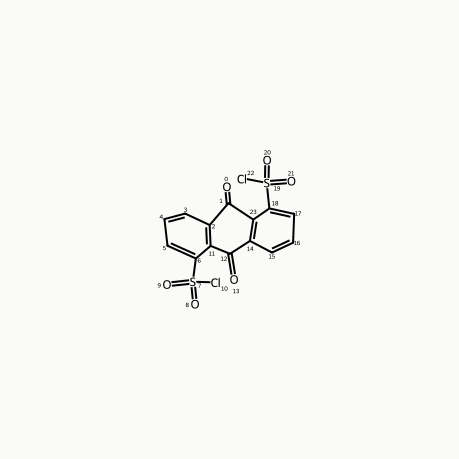 O=C1c2cccc(S(=O)(=O)Cl)c2C(=O)c2cccc(S(=O)(=O)Cl)c21